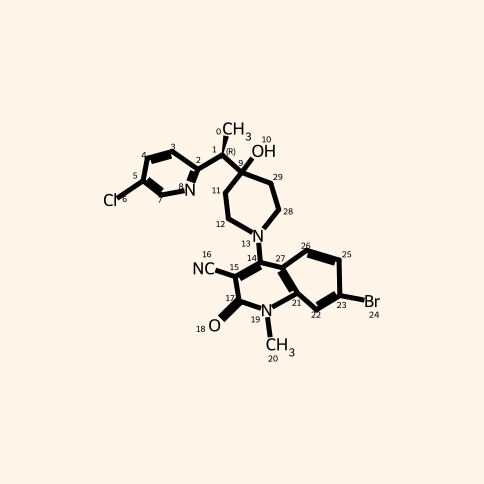 C[C@H](c1ccc(Cl)cn1)C1(O)CCN(c2c(C#N)c(=O)n(C)c3cc(Br)ccc23)CC1